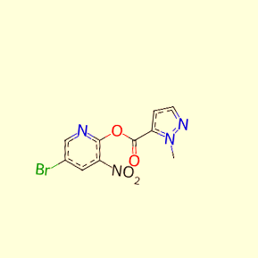 Cn1nccc1C(=O)Oc1ncc(Br)cc1[N+](=O)[O-]